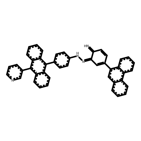 N=C1C=CC(c2cc3ccccc3c3ccccc23)=C/C1=N/Nc1ccc(-c2c3ccccc3c(-c3cccnc3)c3ccccc23)cc1